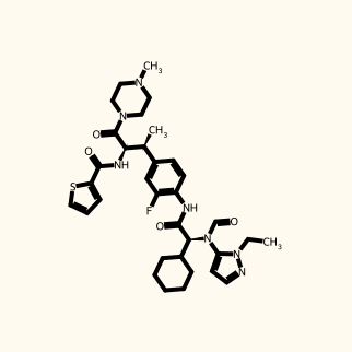 CCn1nccc1N(C=O)[C@H](C(=O)Nc1ccc([C@H](C)[C@@H](NC(=O)c2cccs2)C(=O)N2CCN(C)CC2)cc1F)C1CCCCC1